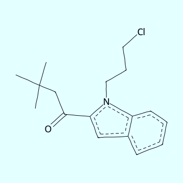 CC(C)(C)CC(=O)c1cc2ccccc2n1CCCCl